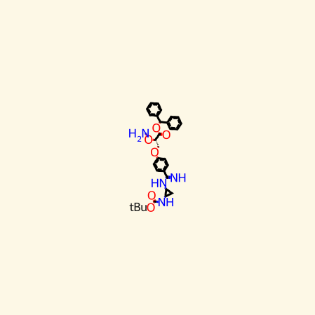 CC(C)(C)OC(=O)NC1CC1NC(=N)c1ccc(OC[C@H](ON)C(=O)OC(c2ccccc2)c2ccccc2)cc1